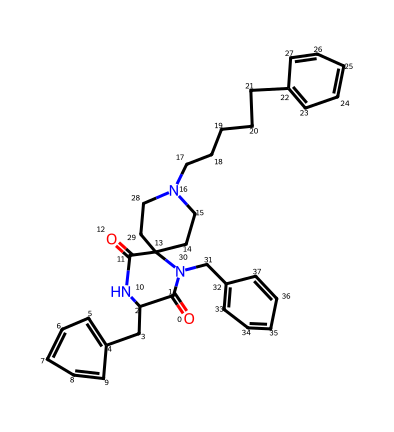 O=C1C(Cc2ccccc2)NC(=O)C2(CCN(CCCCCc3ccccc3)CC2)N1Cc1ccccc1